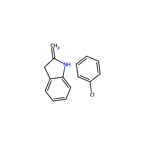 C=C1Cc2ccccc2N1.Clc1ccccc1